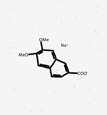 COc1cc2ccc(C(=O)[O-])cc2cc1OC.[Na+]